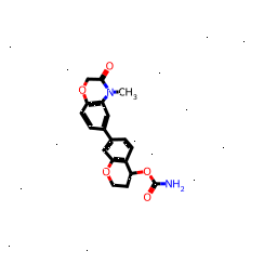 CN1C(=O)COc2ccc(-c3ccc4c(c3)OCCC4OC(N)=O)cc21